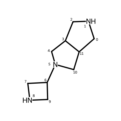 C1NCC2CN(C3CNC3)CC12